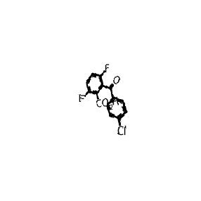 O=C(O)c1c(F)ccc(F)c1C(=O)c1ccc(Cl)cc1